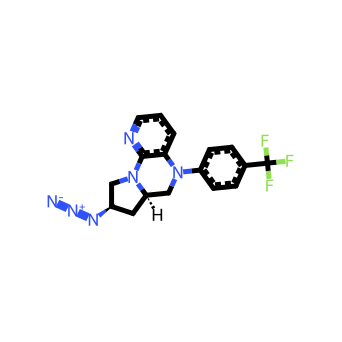 [N-]=[N+]=N[C@@H]1C[C@@H]2CN(c3ccc(C(F)(F)F)cc3)c3cccnc3N2C1